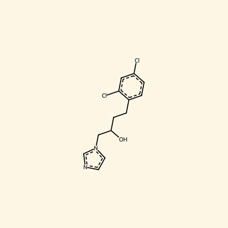 OC(CCc1ccc(Cl)cc1Cl)Cn1ccnc1